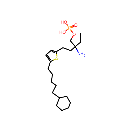 CCC(N)(CCc1ccc(CCCCCC2CCCCC2)s1)COP(=O)(O)O